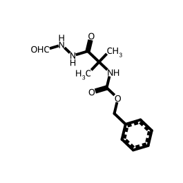 CC(C)(NC(=O)OCc1ccccc1)C(=O)NNC=O